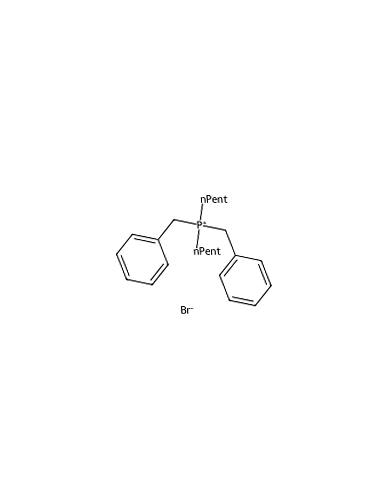 CCCCC[P+](CCCCC)(Cc1ccccc1)Cc1ccccc1.[Br-]